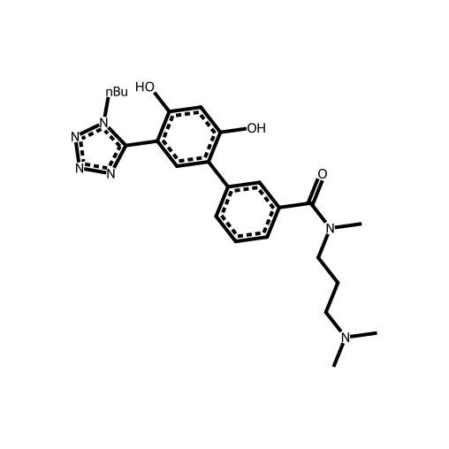 CCCCn1nnnc1-c1cc(-c2cccc(C(=O)N(C)CCCN(C)C)c2)c(O)cc1O